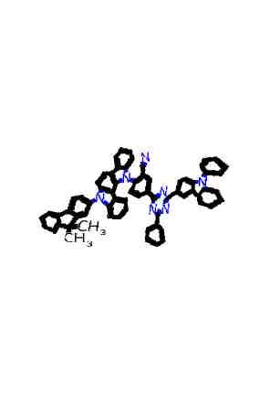 CC1(C)c2ccccc2-c2ccc(-n3c4ccccc4c4c3ccc3c5ccccc5n(-c5ccc(-c6nc(-c7ccccc7)nc(-c7ccc8c(c7)c7ccccc7n8-c7ccccc7)n6)cc5C#N)c34)cc21